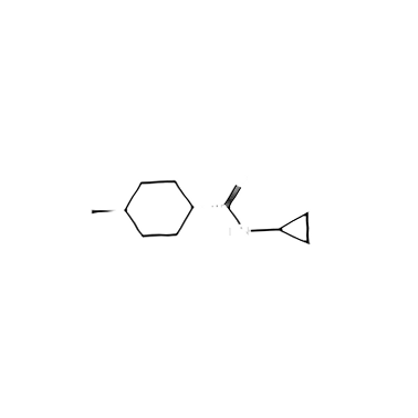 C[C@H]1CC[C@H](C(=O)NC2CC2)CC1